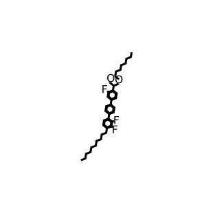 CCCCCCCCCCc1ccc(-c2ccc(-c3ccc(C4COC(CCCCCCC)OC4)c(F)c3)cc2)c(F)c1F